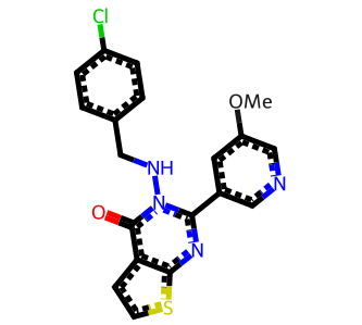 COc1cncc(-c2nc3sccc3c(=O)n2NCc2ccc(Cl)cc2)c1